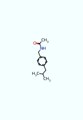 CC(=O)NCc1ccc(CC(C)C)cc1